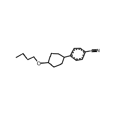 CCCCOC1CCC(c2ccc(C#N)cc2)CC1